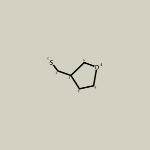 [S]CC1CCOC1